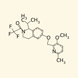 COc1ccc(C)nc1COc1ccc2c(c1)CCN(C(=O)C(F)(F)F)C2C(C)C